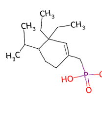 CCC1(CC)C=C(CP(=O)(O)O)CCC1C(C)C